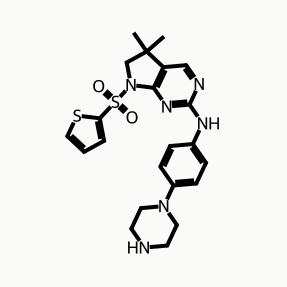 CC1(C)CN(S(=O)(=O)c2cccs2)c2nc(Nc3ccc(N4CCNCC4)cc3)ncc21